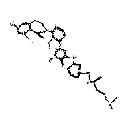 CN(C)C/C=C/C(=O)NCc1cccc(Nc2nc(-c3cccc(N4CCc5cc(C(C)(C)C)cc(F)c5C4=O)c3CO)cn(C)c2=O)c1